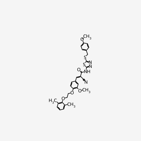 COc1ccc(CSc2nnc(NC(=O)C(C#N)=Cc3ccc(OCCOc4c(C)cccc4C)c(OC)c3)s2)cc1